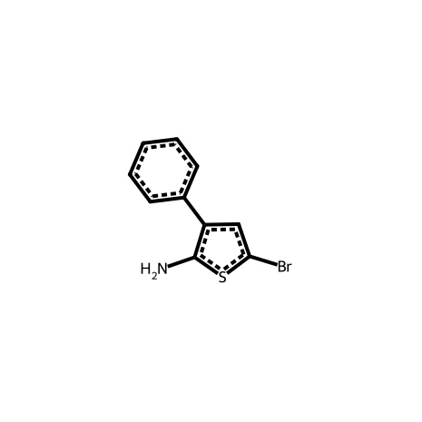 Nc1sc(Br)cc1-c1ccccc1